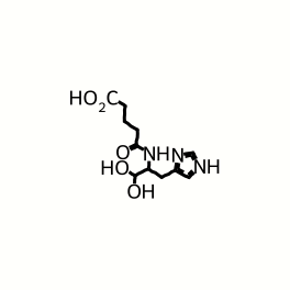 O=C(O)CCCC(=O)NC(Cc1c[nH]cn1)C(O)O